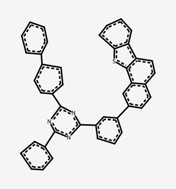 c1ccc(-c2ccc(-c3nc(-c4ccccc4)nc(-c4cccc(-c5ccc6ccc7c8ccccc8sc7c6c5)c4)n3)cc2)cc1